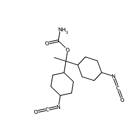 CC(OC(N)=O)(C1CCC(N=C=O)CC1)C1CCC(N=C=O)CC1